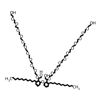 CCCCCCCCCCCCc1cccc(Oc2cccc(CCCCCCCCCCCC)c2C(CO)OCCOCCOCCOCCOCCOCCOCCOCCOCCOCCOCCO)c1C(CO)OCCOCCOCCOCCOCCOCCOCCOCCOCCOCCOCCO